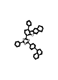 c1ccc(-c2nc(-c3ccc(-c4cccc5ccccc45)cc3)nc(-c3ccc(-c4ccccc4)c4c3oc3cc5ccccc5cc34)n2)cc1